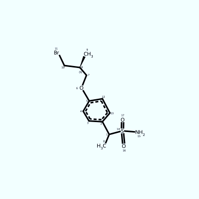 CC(c1ccc(OC[C@H](C)CBr)cc1)S(N)(=O)=O